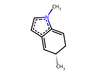 C[C@@H]1C=c2ccn(C)c2=CC1